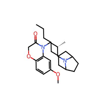 CCCCCC1CC2CCC(C1)N2C[C@@H](C)CN1C(=O)COc2ccc(OC)cc21